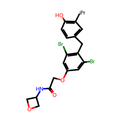 CC(C)c1cc(Cc2c(Br)cc(OCC(=O)NC3COC3)cc2Br)ccc1O